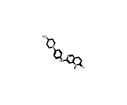 CN1C(=O)CCc2cnc(Nc3ccc(N4CCC(O)CC4)cc3)cc21